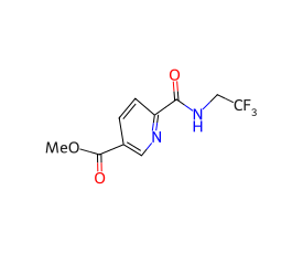 COC(=O)c1ccc(C(=O)NCC(F)(F)F)nc1